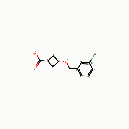 O=C(O)[C@H]1C[C@H](OCc2cccc(F)c2)C1